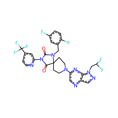 O=C1N(c2cc(C(F)(F)F)ccn2)C(=O)C2(CCN(c3cnc4cnn(CC(F)F)c4n3)CC2)N1Cc1cc(F)ccc1F